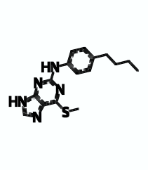 CCCCc1ccc(Nc2nc(SC)c3nc[nH]c3n2)cc1